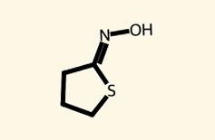 ON=C1CCCS1